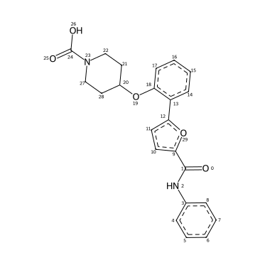 O=C(Nc1ccccc1)c1ccc(-c2ccccc2OC2CCN(C(=O)O)CC2)o1